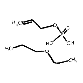 C=CCOP(=O)(O)O.CCOCCO